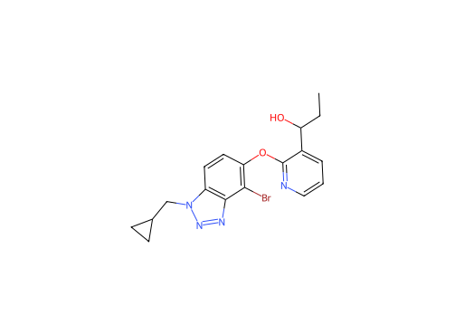 CCC(O)c1cccnc1Oc1ccc2c(nnn2CC2CC2)c1Br